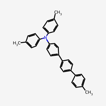 Cc1ccc(-c2ccc(-c3ccc(N(c4ccc(C)cc4)c4ccc(C)cc4)cc3)cc2)cc1